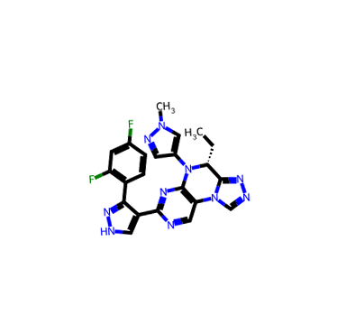 CC[C@@H]1c2nncn2-c2cnc(-c3c[nH]nc3-c3ccc(F)cc3F)nc2N1c1cnn(C)c1